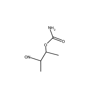 CC(N=O)C(C)OC(N)=O